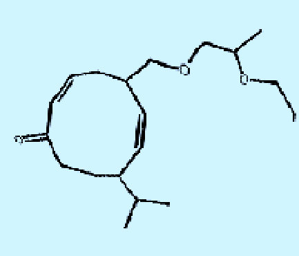 CCOC(C)COCC1C=CC(C(C)C)CCC(=O)C=CC1